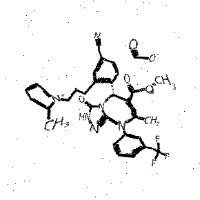 COC(=O)C1=C(C)N(c2cccc(C(F)(F)F)c2)c2n[nH]c(=O)n2[C@@H]1c1ccc(C#N)cc1CCC[n+]1ccccc1C.O=C[O-]